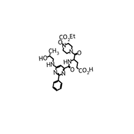 CCOC(=O)ON1CCN(C(=O)C(CCC(=O)O)NC(=O)c2cc(NC[C@H](C)O)nc(-c3ccccc3)n2)CC1